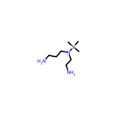 C[Si](C)(C)N(CCN)CCCN